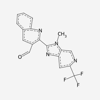 Cn1c(-c2nc3ccccc3cc2C=O)nc2cc(C(F)(F)F)ncc21